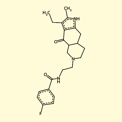 CCc1c(C)[nH]c2c1C(=O)C1CN(CCNC(=O)c3ccc(F)cc3)CCC1C2